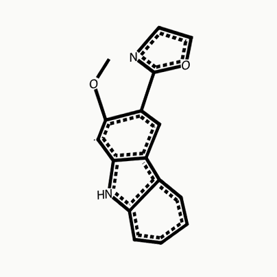 COc1[c]c2[nH]c3ccccc3c2cc1-c1ncco1